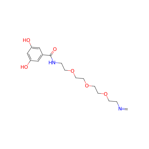 C=NCCOCCOCCOCCNC(=O)c1cc(O)cc(O)c1